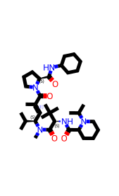 C/C(=C\[C@H](C(C)C)N(C)C(=O)[C@@H](NC(=O)C1CCCCN1C(C)C)C(C)(C)C)C(=O)N1CCC[C@H]1C(=O)NC1CCCCC1